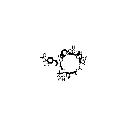 CC[C@@H]1/C=C(\C)C[C@H](C)C[C@H](OC)[C@H]2O[C@](O)([C@H](C)C[C@@H]2OC)[C@@H](O)C(=O)N2CCCC[C@H]2C(=O)O[C@H](/C(C)=C/C2CC[C@@H](OC(C)=O)[C@H](OC)C2)[C@@H](C)[C@@H](CC(C)(C)[Si](C)(C)O)CC1=O